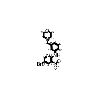 O=[N+]([O-])c1cc(Br)cnc1Nc1cccc(CN2CCOCC2)c1